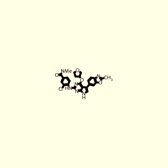 CNC(=O)c1ccc(Nc2nc(OC3CCOC3)c3c(-c4ccc5nc(C)oc5c4)c[nH]c3n2)c(Cl)c1